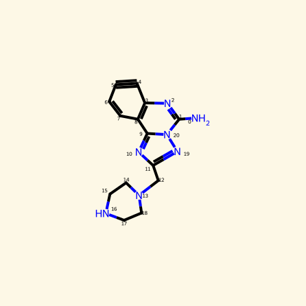 Nc1nc2c#cccc2c2nc(CN3CCNCC3)nn12